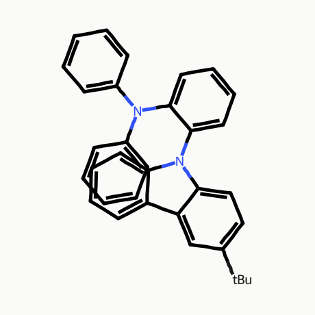 CC(C)(C)c1ccc2c(c1)c1ccccc1n2-c1ccccc1N(c1ccccc1)c1ccccc1